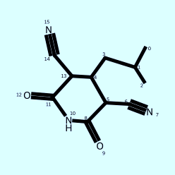 CC(C)CC1C(C#N)C(=O)NC(=O)C1C#N